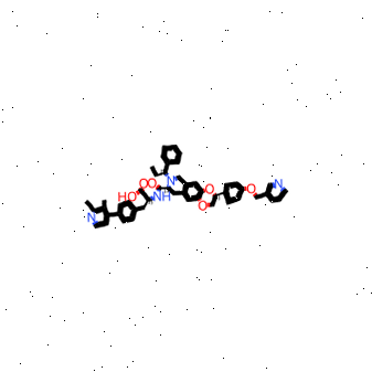 CC[C@@H](c1ccccc1)N1Cc2cc3c(cc2C[C@H]1C(=O)N[C@@H](Cc1ccc(-c2ccnc(C)c2C)cc1)C(=O)O)OC[C@H](c1ccc(OCc2cccnc2)cc1)O3